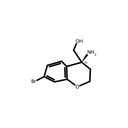 N[C@@]1(CO)CCOc2cc(Br)ccc21